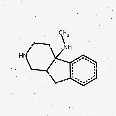 CNC12CCNCC1Cc1ccccc12